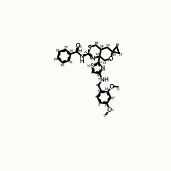 COc1ccc(CNc2csc(C34COC5(CC5)CC3CSC(NC(=O)c3ccccc3)=N4)n2)c(OC)c1